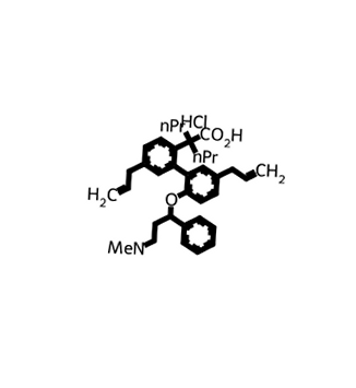 C=CCc1ccc(OC(CCNC)c2ccccc2)c(-c2cc(CC=C)ccc2C(CCC)(CCC)C(=O)O)c1.Cl